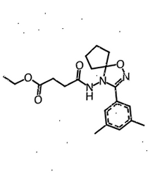 CCOC(=O)CCC(=O)NN1C(c2cc(C)cc(C)c2)=NOC12CCCC2